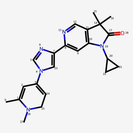 CC1=CC(n2cnc(-c3cc4c(cn3)C(C)(C)C(=O)N4C3CC3)c2)=CCN1C